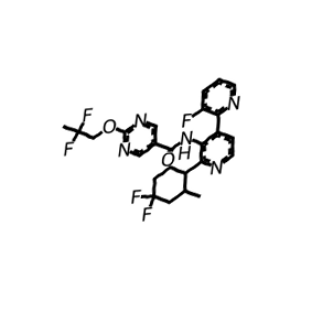 CC1CC(F)(F)CCC1c1nccc(-c2ncccc2F)c1NC(=O)c1cnc(OCC(C)(F)F)nc1